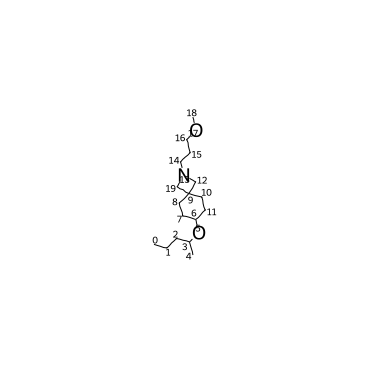 CCCC(C)OC1CCC2(CC1)CN(CCCOC)C2